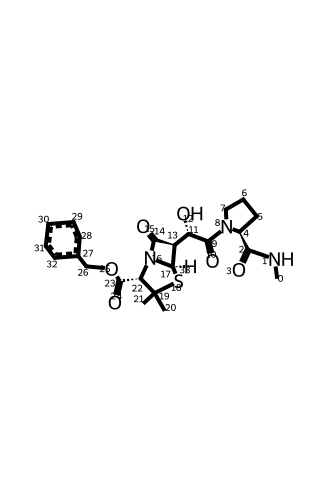 CNC(=O)[C@@H]1CCCN1C(=O)[C@@H](O)[C@@H]1C(=O)N2[C@@H]1SC(C)(C)[C@@H]2C(=O)OCc1ccccc1